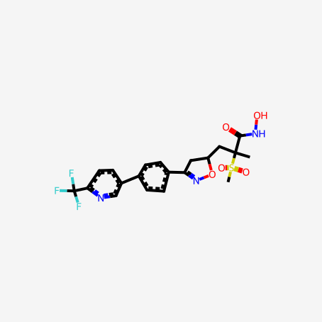 CC(CC1CC(c2ccc(-c3ccc(C(F)(F)F)nc3)cc2)=NO1)(C(=O)NO)S(C)(=O)=O